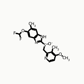 COc1ccnc(C[S+]([O-])c2nc3cc(OC(F)F)c(C)cc3[nH]2)c1C